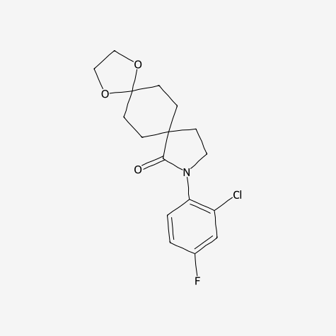 O=C1N(c2ccc(F)cc2Cl)CCC12CCC1(CC2)OCCO1